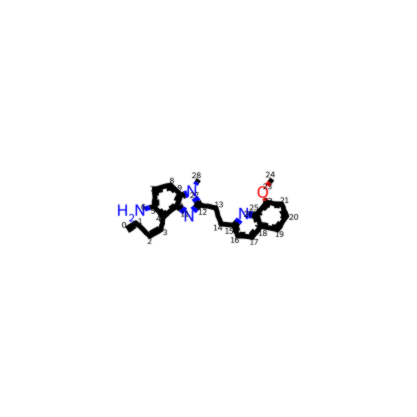 C=C/C=C\c1c(N)ccc2c1nc(CCc1ccc3cccc(OC)c3n1)n2C